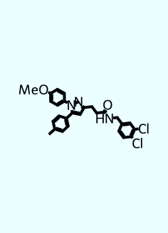 COc1ccc(-n2nc(CCC(=O)NCc3ccc(Cl)c(Cl)c3)cc2-c2ccc(C)cc2)cc1